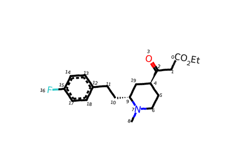 CCOC(=O)CC(=O)[C@H]1CCN(C)[C@H](CCc2ccc(F)cc2)C1